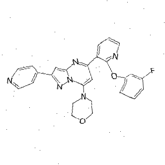 Fc1cccc(Oc2ncccc2-c2cc(N3CCOCC3)n3nc(-c4ccncc4)cc3n2)c1